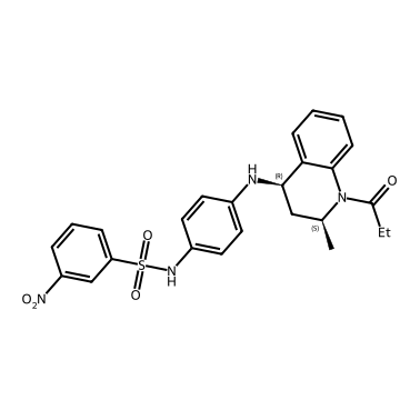 CCC(=O)N1c2ccccc2[C@H](Nc2ccc(NS(=O)(=O)c3cccc([N+](=O)[O-])c3)cc2)C[C@@H]1C